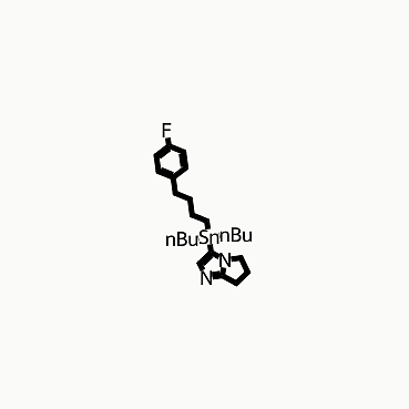 CCC[CH2][Sn]([CH2]CCC)([CH2]CCCc1ccc(F)cc1)[c]1cnc2n1CCC2